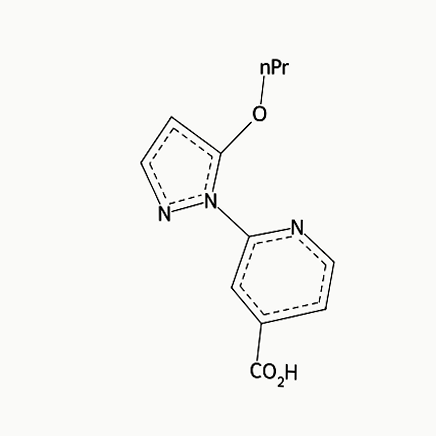 CCCOc1ccnn1-c1cc(C(=O)O)ccn1